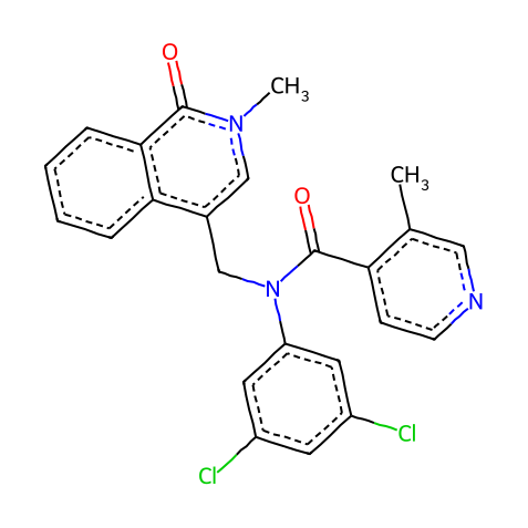 Cc1cnccc1C(=O)N(Cc1cn(C)c(=O)c2ccccc12)c1cc(Cl)cc(Cl)c1